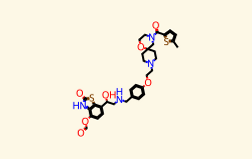 Cc1ccc(C(=O)N2CCOC3(CCN(CCOc4ccc(CNCC(O)c5ccc(OC=O)c6[nH]c(=O)sc56)cc4)CC3)C2)s1